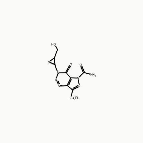 CCOC(=O)c1nn(C(N)=O)c2c(=O)n(C3OC3CO)nnc12